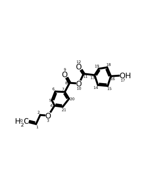 C=CCOc1ccc(C(=O)OC(=O)c2ccc(O)cc2)cc1